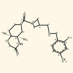 O=C1CO[C@H]2CCN(C(=O)N3CC(COCc4ccc(C(F)(F)F)cc4F)C3)C[C@H]2N1